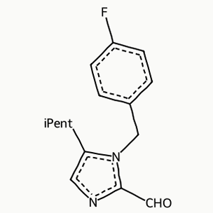 CCCC(C)c1cnc(C=O)n1Cc1ccc(F)cc1